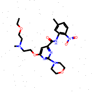 CCOCCN(C)CCOc1cc(C(=O)Nc2cc(C)ccc2[N+](=O)[O-])nc(N2CCOCC2)n1